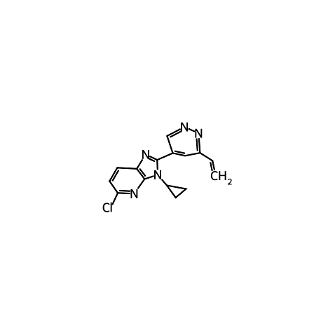 C=Cc1cc(-c2nc3ccc(Cl)nc3n2C2CC2)cnn1